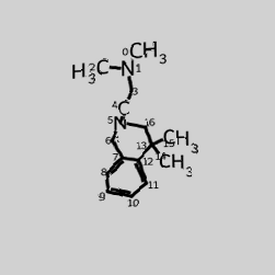 CN(C)CCN1[C]c2ccccc2C(C)(C)C1